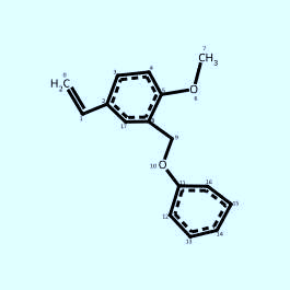 C=Cc1ccc(OC)c(COc2ccccc2)c1